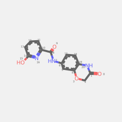 O=C1COc2cc(NC(=O)c3cccc(O)n3)ccc2N1